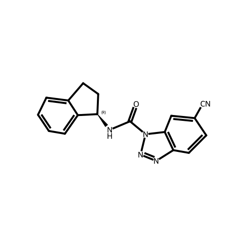 N#Cc1ccc2nnn(C(=O)N[C@@H]3CCc4ccccc43)c2c1